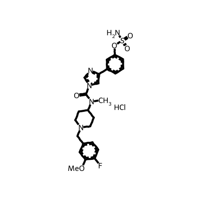 COc1cc(CN2CCC(N(C)C(=O)n3cnc(-c4cccc(OS(N)(=O)=O)c4)c3)CC2)ccc1F.Cl